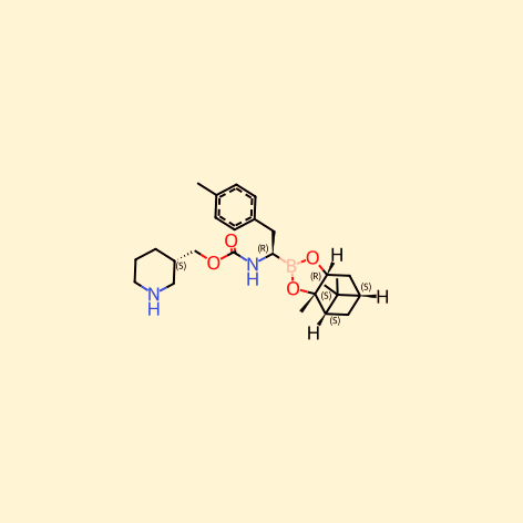 Cc1ccc(C[C@H](NC(=O)OC[C@H]2CCCNC2)B2O[C@@H]3C[C@@H]4C[C@@H](C4(C)C)[C@]3(C)O2)cc1